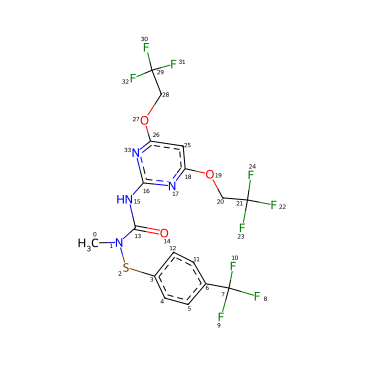 CN(Sc1ccc(C(F)(F)F)cc1)C(=O)Nc1nc(OCC(F)(F)F)cc(OCC(F)(F)F)n1